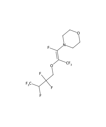 F/C(=C(\OCC(F)(F)C(F)C(F)(F)F)C(F)(F)F)N1CCOCC1